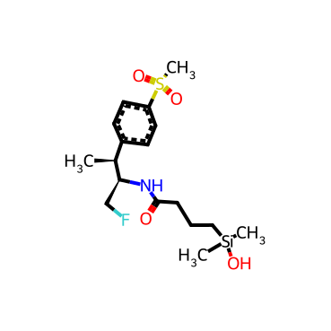 C[C@@H](c1ccc(S(C)(=O)=O)cc1)[C@H](CF)NC(=O)CCC[Si](C)(C)O